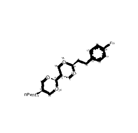 CCCCC[C@H]1CO[C@H]([C@H]2CO[C@H](CCc3ccc(F)cc3)OC2)OC1